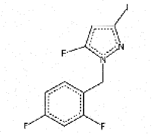 Fc1ccc(Cn2nc(I)cc2F)c(F)c1